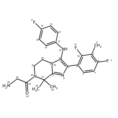 Cc1c(F)ccc(-c2nc3n(c2Nc2ccc(F)cc2)CCN(C(=O)CN)C3(C)C)c1F